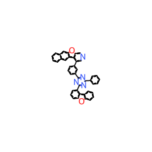 c1ccc(-c2nc(-c3cccc(-c4cncc5oc6cc7ccccc7cc6c45)c3)nc(-c3cccc4oc5ccccc5c34)n2)cc1